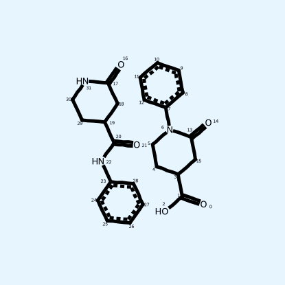 O=C(O)C1CCN(c2ccccc2)C(=O)C1.O=C1CC(C(=O)Nc2ccccc2)CCN1